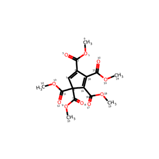 COC(=O)C1=[C]C(C(=O)OC)(C(=O)OC)C(C(=O)OC)=C1C(=O)OC